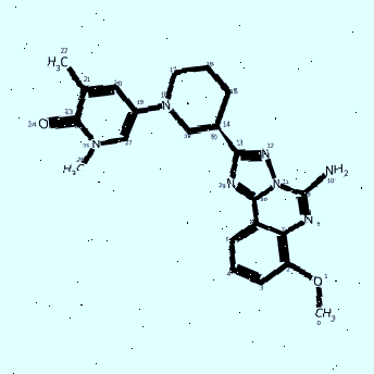 COc1cccc2c1nc(N)n1nc([C@@H]3CCCN(c4cc(C)c(=O)n(C)c4)C3)nc21